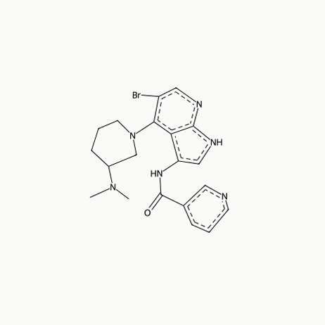 CN(C)C1CCCN(c2c(Br)cnc3[nH]cc(NC(=O)c4cccnc4)c23)C1